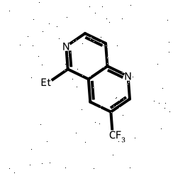 CCc1nccc2ncc(C(F)(F)F)cc12